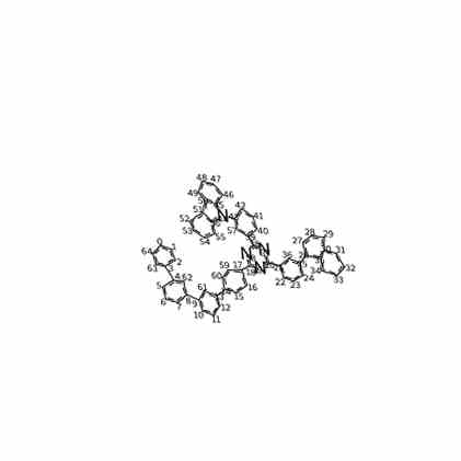 c1ccc(-c2cccc(-c3cccc(-c4ccc(-c5nc(-c6cccc(-c7cccc8ccccc78)c6)nc(-c6cccc(-n7c8ccccc8c8ccccc87)c6)n5)cc4)c3)c2)cc1